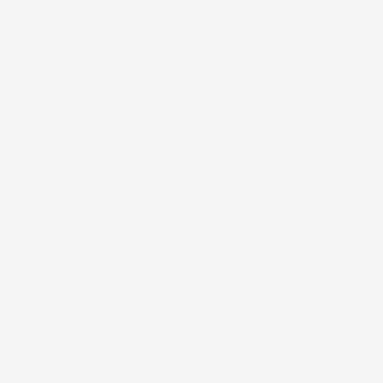 c1ccc([CH2][Ti]([CH2]c2ccccc2)([c]2cccc3c2Cc2ccccc2-3)[c]2cccc3c2Cc2ccccc2-3)cc1